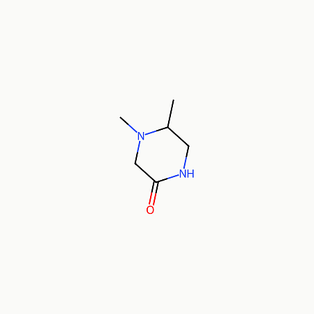 CC1CNC(=O)CN1C